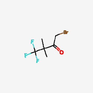 CC(C)(C(=O)CBr)C(F)(F)F